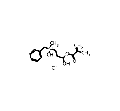 C=C(C)C(=O)OC(O)CC[N+](C)(C)Cc1ccccc1.[Cl-]